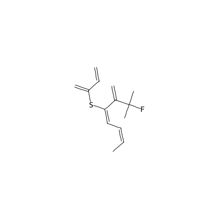 C=CC(=C)S/C(=C/C=C\C)C(=C)C(C)(C)F